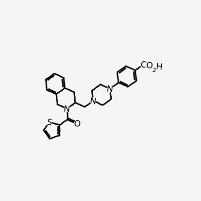 O=C(O)c1ccc(N2CCN(CC3Cc4ccccc4CN3C(=O)c3cccs3)CC2)cc1